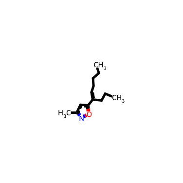 CCCCC=C(CCC)c1cc(C)no1